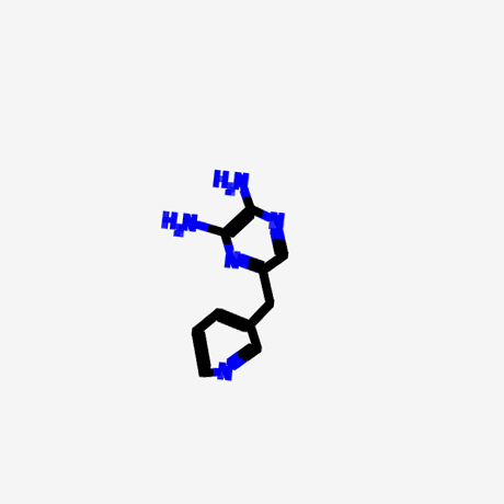 Nc1ncc(Cc2cccnc2)nc1N